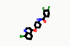 O=C(NC1CCC(Oc2ccnc3c(Br)cccc23)CC1)c1ccc(F)c(F)c1